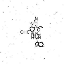 C=CC(=O)Nc1cc(Nc2cc(-c3cn(C)c4ccccc34)nc(C)n2)c(C=O)cc1N(C)CCN(C)C